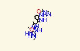 CCN/C=C(/Nc1ncc(C)c(-c2c[nH]c3c(NC(=O)C(C)N4CCN(C)CC4)cccc23)n1)C(=N)OCC